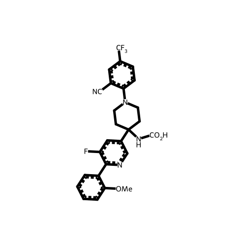 COc1ccccc1-c1ncc(C2(NC(=O)O)CCN(c3ccc(C(F)(F)F)cc3C#N)CC2)cc1F